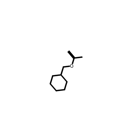 C=C(C)OCC1CCCCC1